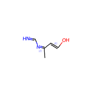 CC(/C=C/O)=N/C=N